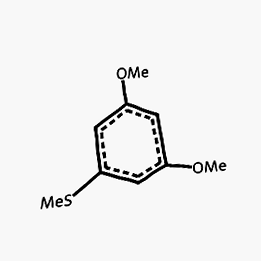 COc1cc(OC)cc(SC)c1